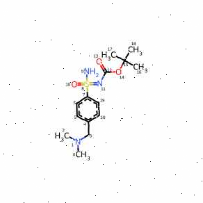 CN(C)Cc1ccc(S(N)(=O)=NC(=O)OC(C)(C)C)cc1